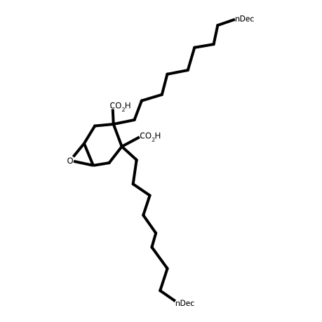 CCCCCCCCCCCCCCCCCCC1(C(=O)O)CC2OC2CC1(CCCCCCCCCCCCCCCCCC)C(=O)O